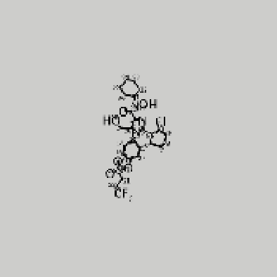 O=C(c1nc(-c2ccccc2Cl)n(-c2ccc(OS(=O)(=O)CCC(F)(F)F)cc2)c1CO)N(O)C1CCCCC1